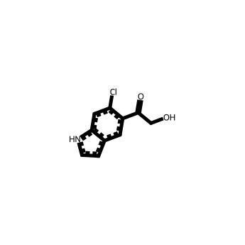 O=C(CO)c1cc2cc[nH]c2cc1Cl